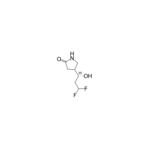 O=C1CC([C@H](O)CC(F)F)CN1